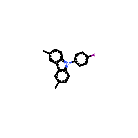 Cc1ccc2c(c1)c1cc(C)ccc1n2-c1ccc(I)cc1